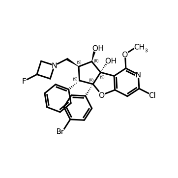 COc1nc(Cl)cc2c1[C@]1(O)[C@H](O)[C@H](CN3CC(F)C3)[C@@H](c3ccccc3)[C@]1(c1ccc(Br)cc1)O2